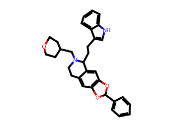 c1ccc(C2Oc3cc4c(cc3O2)C(CCc2c[nH]c3ccccc23)N(CC2CCOCC2)CC4)cc1